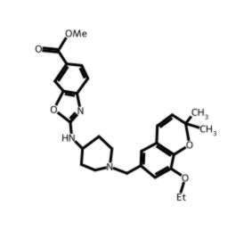 CCOc1cc(CN2CCC(Nc3nc4ccc(C(=O)OC)cc4o3)CC2)cc2c1OC(C)(C)C=C2